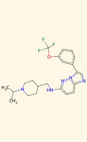 CC(C)N1CCC(CNc2ccc3ncc(-c4cccc(OC(F)(F)F)c4)n3n2)CC1